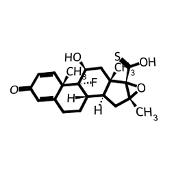 C[C@@]12C[C@H]3[C@@H]4CCC5=CC(=O)C=C[C@]5(C)[C@@]4(F)[C@@H](O)C[C@]3(C)[C@]1(C(O)=S)O2